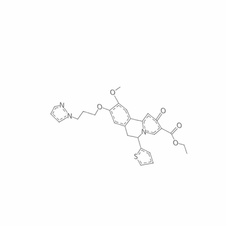 CCOC(=O)c1cn2c(cc1=O)-c1cc(OC)c(OCCCn3cccn3)cc1CC2c1cccs1